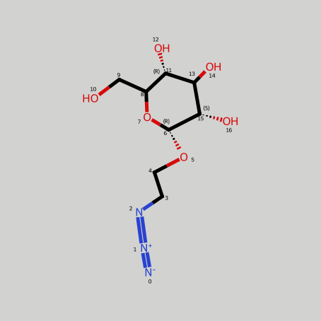 [N-]=[N+]=NCCO[C@@H]1OC(CO)[C@H](O)C(O)[C@@H]1O